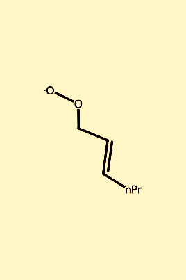 CCCC=CCO[O]